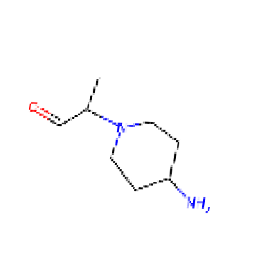 CC(C=O)N1CCC(N)CC1